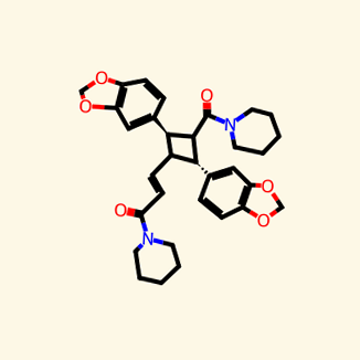 O=C(/C=C/C1[C@@H](c2ccc3c(c2)OCO3)C(C(=O)N2CCCCC2)[C@@H]1c1ccc2c(c1)OCO2)N1CCCCC1